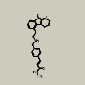 O=C(/C=C/c1ccc(CNCCc2cccc3[nH]c4c(c23)CCCS4)cc1)NO